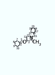 CC1CC(OCc2ccccc2)=CCN1Cc1ccccc1